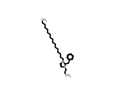 CCCCCCCCCCCCCCCCCN1C=CN(CCC)C1Cc1ccccc1